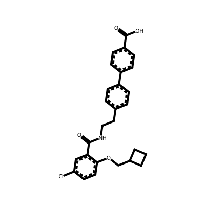 O=C(O)c1ccc(-c2ccc(CCNC(=O)c3cc(Cl)ccc3OCC3CCC3)cc2)cc1